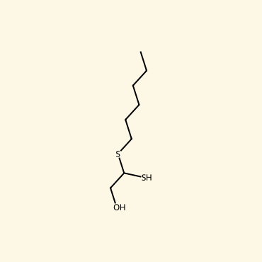 CCCCCCSC(S)CO